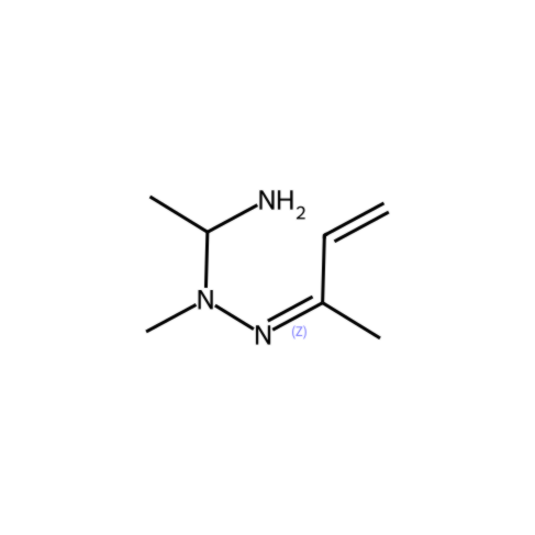 C=C/C(C)=N\N(C)C(C)N